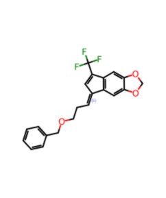 FC(F)(F)C1=C/C(=C\CCOCc2ccccc2)c2cc3c(cc21)OCO3